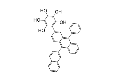 Oc1c(O)c(O)c(-c2ccc3c(-c4ccc5ccccc5c4)c4ccccc4c(-c4ccccc4)c3c2)c(O)c1O